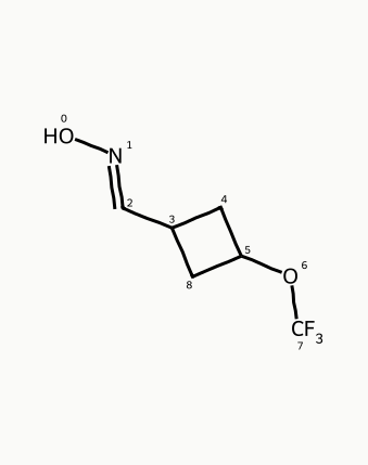 O/N=C/C1CC(OC(F)(F)F)C1